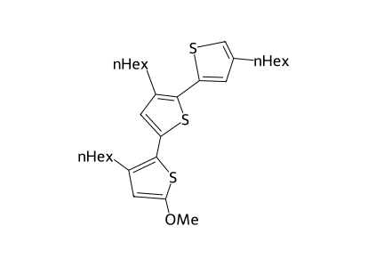 CCCCCCc1csc(-c2sc(-c3sc(OC)cc3CCCCCC)cc2CCCCCC)c1